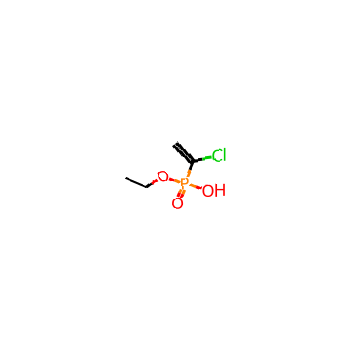 C=C(Cl)P(=O)(O)OCC